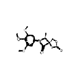 COc1cc(N2C(=O)[C@]3(COC(=O)O3)[C@@H]2C)cc(OC)c1OC